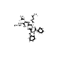 CCCCCCNC(=O)[C@H](CC(N)=O)NC(=O)[C@H](CCCCN)NC(=O)[C@H](Cc1ccccc1)NC(=O)c1ccccc1